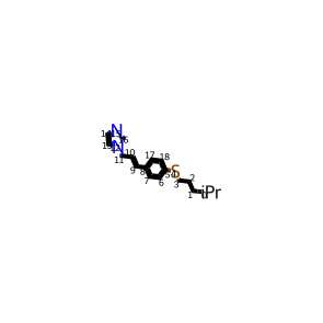 CC(C)CCCSc1ccc(C=CCn2ccnc2)cc1